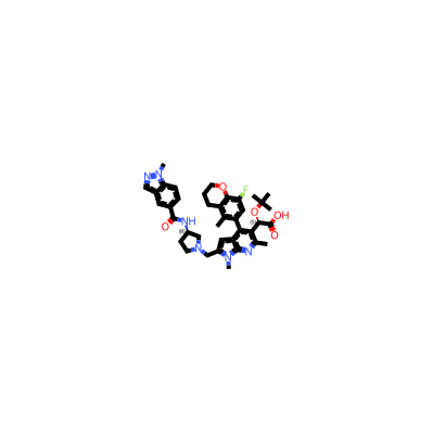 Cc1nc2c(cc(CN3CC[C@@H](NC(=O)c4ccc5c(cnn5C)c4)C3)n2C)c(-c2cc(F)c3c(c2C)CCCO3)c1[C@H](OC(C)(C)C)C(=O)O